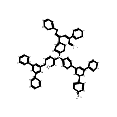 C=C/C(=C\C(=C/CC1=CC=CCC1)C1=CC=C(N(C2=CCC(C3=CC(C4=CCC(C)C=C4)CC(C4=CCCC=C4)=C3)C=C2)C(/C=C\Cc2cc(-c3ccccc3)cc(-c3ccccc3)c2)=C/C)CC1)C1=CCCC=C1